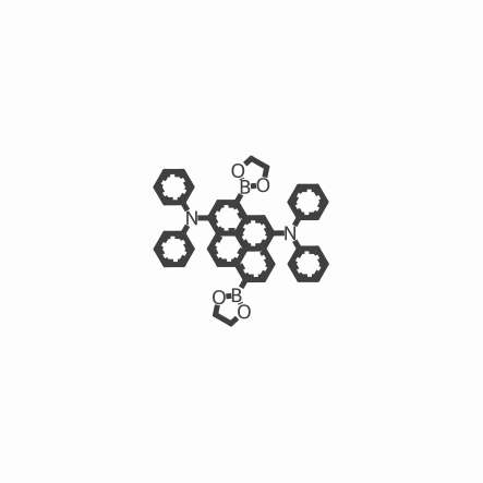 c1ccc(N(c2ccccc2)c2cc3c(B4OCCO4)cc(N(c4ccccc4)c4ccccc4)c4ccc5c(B6OCCO6)ccc2c5c34)cc1